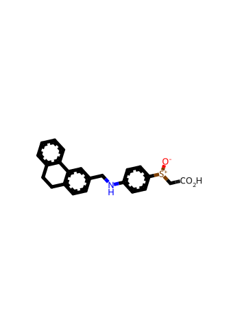 O=C(O)C[S+]([O-])c1ccc(NCc2ccc3c(c2)-c2ccccc2CC3)cc1